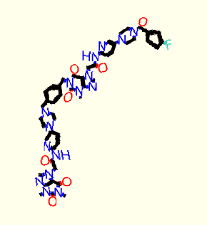 Cn1c(=O)c2c(ncn2CC(=O)Nc2ccc(N3CCN(Cc4ccc(Cn5c(=O)c6c(ncn6CC(=O)Nc6ccc(N7CCN(C(=O)c8ccc(F)cc8)CC7)cn6)n(C)c5=O)cc4)CC3)cn2)n(C)c1=O